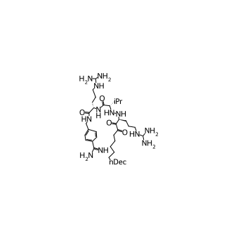 CCCCCCCCCCCCCCCC(=O)C(=O)[C@H](CCCNC(N)N)NN[C@H](C(=O)N[C@@H](CCCNC(N)N)C(=O)NCc1ccc(C(=N)N)cc1)C(C)C